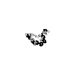 COC(=O)C1(CNCc2cnc3cc(-c4cccc(-c5cccc(-c6ccc(CNC[C@@H]7CCC(=O)N7)c(OC)n6)c5Cl)c4Cl)ccn3c2=O)COC1